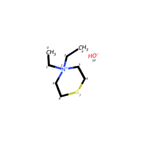 CC[N+]1(CC)CCSCC1.[OH-]